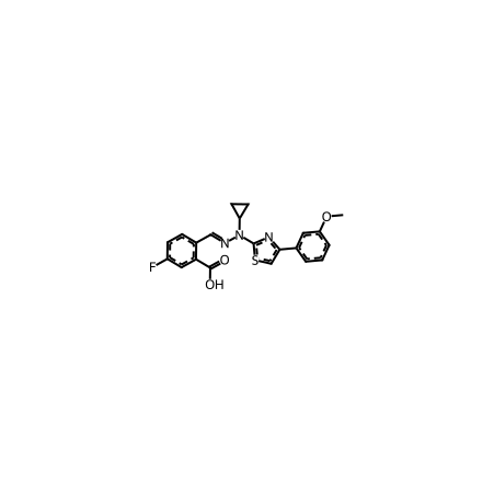 COc1cccc(-c2csc(N(N=Cc3ccc(F)cc3C(=O)O)C3CC3)n2)c1